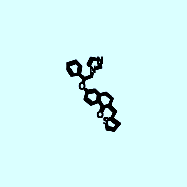 O=C1C(=Cc2cccs2)CCc2cc(OC(Cn3ccnc3)c3ccccc3)ccc21